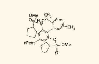 C=C(C)c1ccc(C)cc1-c1c(OP(=O)(OC)C2CCCC2)cc(CCCCC)cc1OP(=O)(OC)C1CCCC1